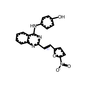 O=[N+]([O-])c1ccc(/C=C/c2nc(Nc3ccc(O)cc3)c3ccccc3n2)o1